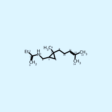 C=C(CC)NCC1CC1(C)CCC=C(C)C